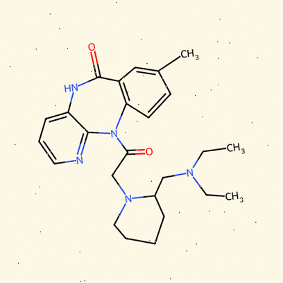 CCN(CC)CC1CCCCN1CC(=O)N1c2ccc(C)cc2C(=O)Nc2cccnc21